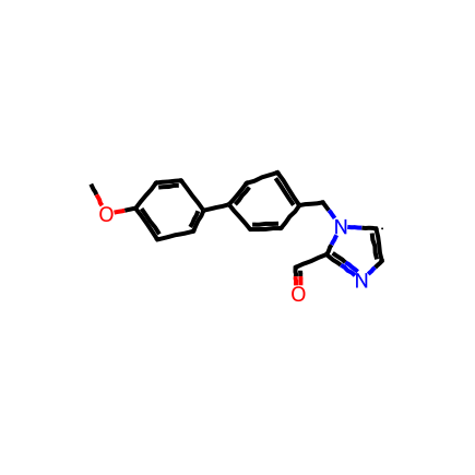 COc1ccc(-c2ccc(Cn3[c]cnc3C=O)cc2)cc1